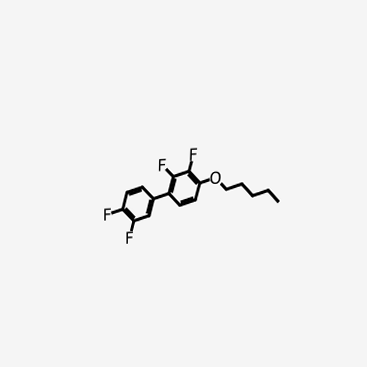 CCCCCOc1ccc(-c2ccc(F)c(F)c2)c(F)c1F